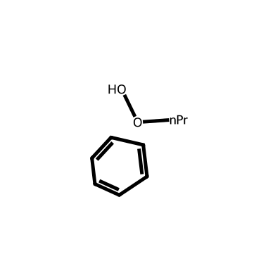 CCCOO.c1ccccc1